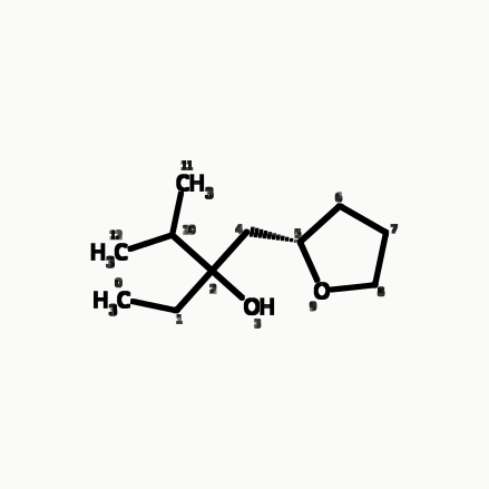 CCC(O)(C[C@@H]1CCCO1)C(C)C